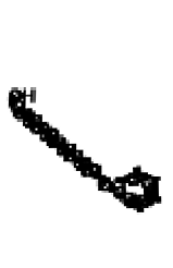 CCCOC(C)COC(C)COC(C)COC(C)COCOCCOCCOOOOOOOOOOOOOOOOOOO/C=C\O